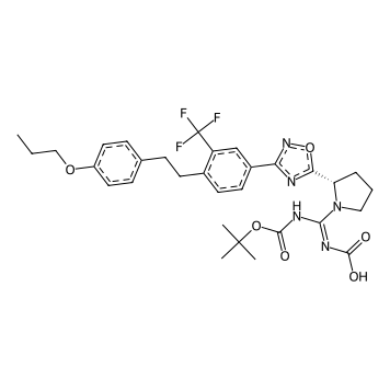 CCCOc1ccc(CCc2ccc(-c3noc([C@@H]4CCCN4/C(=N\C(=O)O)NC(=O)OC(C)(C)C)n3)cc2C(F)(F)F)cc1